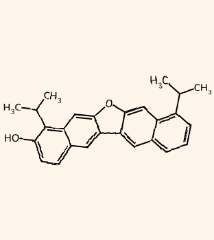 CC(C)c1cccc2cc3c(cc12)oc1cc2c(C(C)C)c(O)ccc2cc13